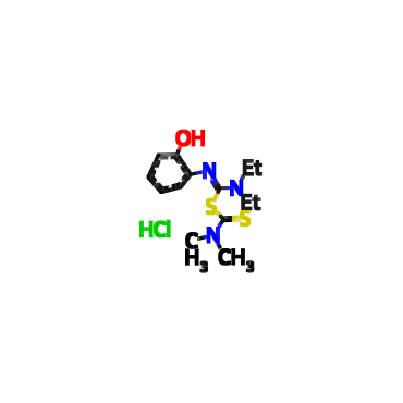 CCN(CC)C(=Nc1ccccc1O)SC(=S)N(C)C.Cl